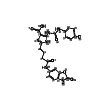 O=C(CCCc1nc(C(=O)O)c(NC(=O)Nc2ccc(Cl)cc2)[nH]1)Nc1ccc2[nH]c(=O)oc2c1